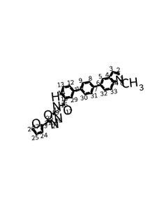 Cn1ccc2cc(-c3ccc(-c4cccc(C(=O)Nc5nnc(-c6ccco6)o5)c4)cc3)ccc21